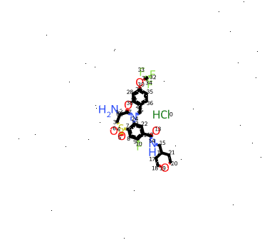 Cl.N[C@H]1CS(=O)(=O)c2cc(F)c(C(=O)NCC3CCOCC3)cc2N(Cc2ccc(OC(F)(F)F)cc2)C1=O